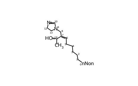 CCCCCCCCCCCCCC/C=C(/CN1C=NCC1)C(C)O